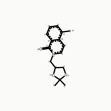 CC1(C)OCC(Cn2ccc3c(I)cccc3c2=O)O1